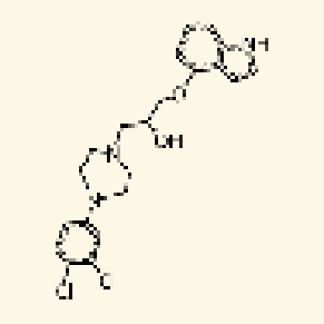 O[C@H](COc1cccc2[nH]ccc12)CN1CCN(c2ccc(Cl)c(Cl)c2)CC1